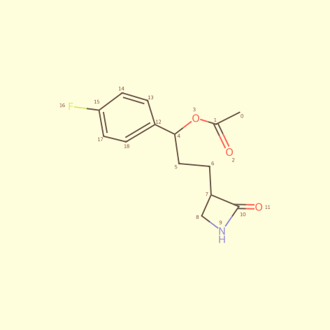 CC(=O)OC(CCC1CNC1=O)c1ccc(F)cc1